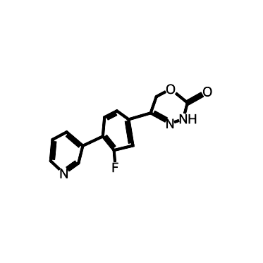 O=C1NN=C(c2ccc(-c3cccnc3)c(F)c2)CO1